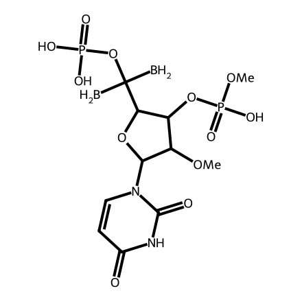 BC(B)(OP(=O)(O)O)C1OC(n2ccc(=O)[nH]c2=O)C(OC)C1OP(=O)(O)OC